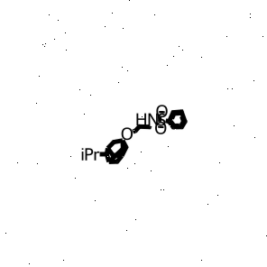 CC(C)C1C2CC3CC1CC(OCCCNS(=O)(=O)c1ccccc1)(C3)C2